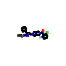 O=C(O)N[C@@H](CCN1CC2CN(C(=O)c3c(F)cccc3Cl)CC2C1)c1ccccc1